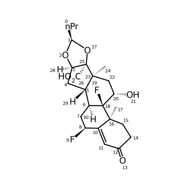 CCC[C@@H]1O[C@@H]2C[C@H]3[C@@H]4C[C@H](F)C5=CC(=O)CC[C@]5(C)[C@@]4(F)[C@@H](O)C[C@]3(C)[C@]2(C(=O)O)O1